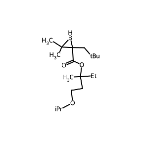 CCC(C)(CCOC(C)C)OC(=O)C1(CC(C)(C)C)BC1(C)C